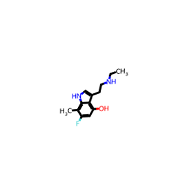 CCNCCc1c[nH]c2c(C)c(F)cc(O)c12